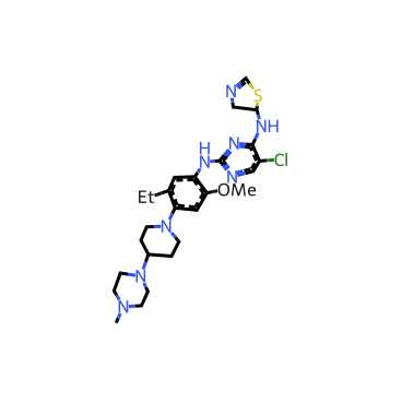 CCc1cc(Nc2ncc(Cl)c(NC3CN=CS3)n2)c(OC)cc1N1CCC(N2CCN(C)CC2)CC1